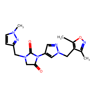 Cc1noc(C)c1Cn1cc(N2C(=O)CN(Cc3ccn(C)n3)C2=O)cn1